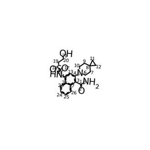 NC(=O)c1c(N2CCC3(CC2)CC3)cc(NS(=O)(=O)CCO)c2ccccc12